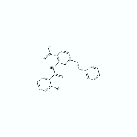 O=C(Nc1cc(CCc2ccccc2)ccc1C(=O)O)c1ccccc1Cl